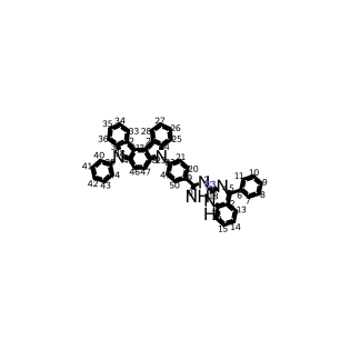 N=C(/N=c1/nc(-c2ccccc2)c2ccccc2[nH]1)c1ccc(-n2c3ccccc3c3c4c5ccccc5n(-c5ccccc5)c4ccc32)cc1